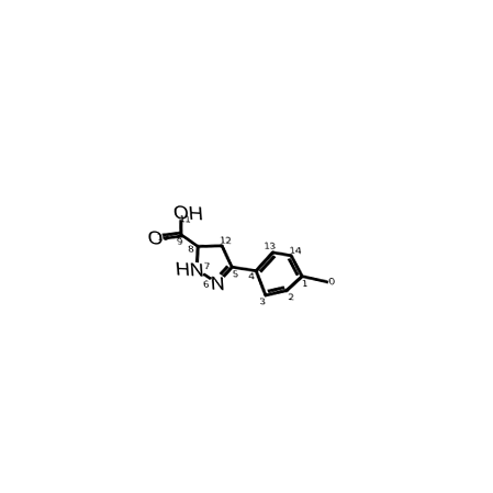 Cc1ccc(C2=NNC(C(=O)O)C2)cc1